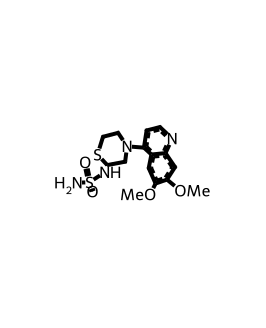 COc1cc2nccc(N3CCSC(NS(N)(=O)=O)C3)c2cc1OC